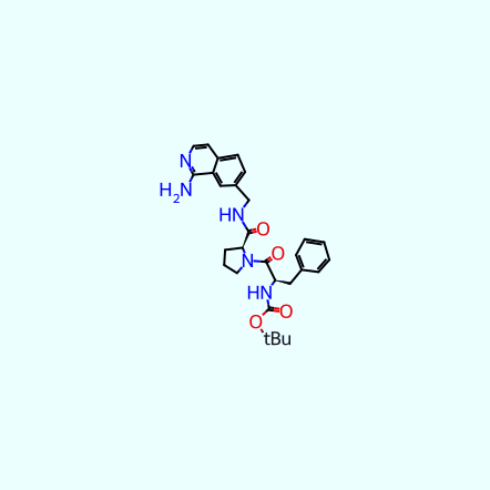 CC(C)(C)OC(=O)N[C@H](Cc1ccccc1)C(=O)N1CCC[C@H]1C(=O)NCc1ccc2ccnc(N)c2c1